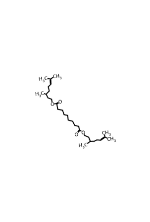 CC(C)=CCCC(C)CCOC(=O)CCCCCCCCC(=O)OCCC(C)CCC=C(C)C